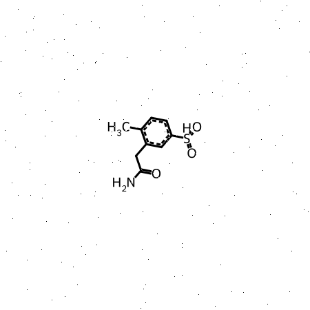 Cc1ccc([SH](=O)=O)cc1CC(N)=O